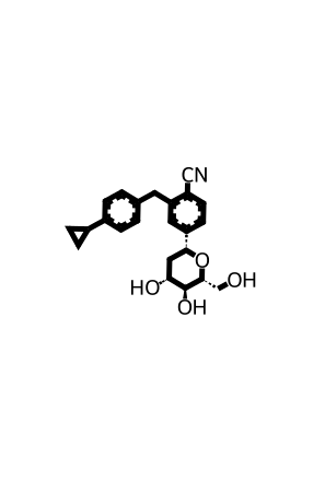 N#Cc1ccc([C@H]2C[C@@H](O)[C@H](O)[C@@H](CO)O2)cc1Cc1ccc(C2CC2)cc1